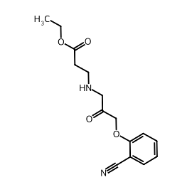 CCOC(=O)CCNCC(=O)COc1ccccc1C#N